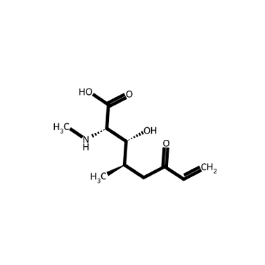 C=CC(=O)C[C@@H](C)[C@@H](O)[C@H](NC)C(=O)O